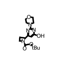 CC(C)(C)OC(=O)N1CCC1c1cc(O)nc(N2CCOCC2)n1